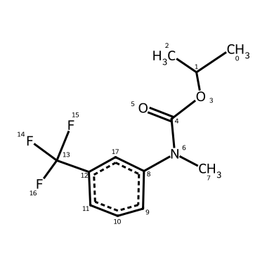 CC(C)OC(=O)N(C)c1cccc(C(F)(F)F)c1